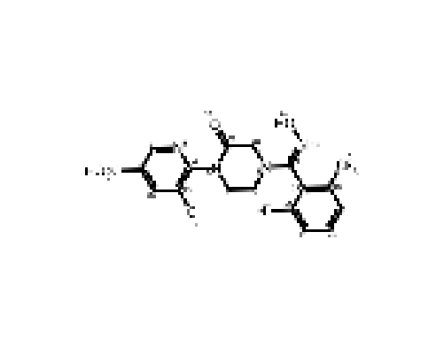 O=C(O)c1cnc(N2CCN(/C(=N\O)c3c(F)cccc3C(F)(F)F)CC2=O)c(Cl)c1